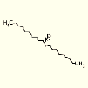 CCCCCCCCCCCCCCCCCCCC.[K].[K]